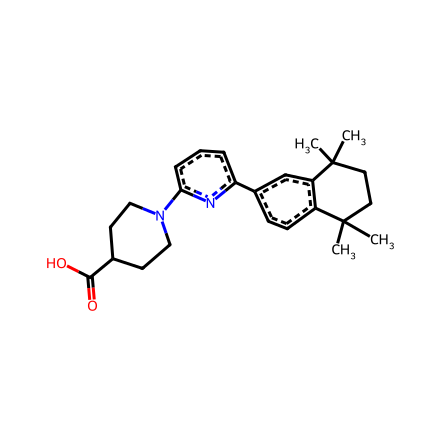 CC1(C)CCC(C)(C)c2cc(-c3cccc(N4CCC(C(=O)O)CC4)n3)ccc21